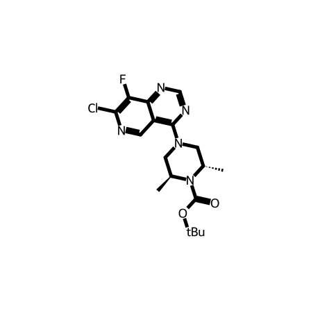 C[C@H]1CN(c2ncnc3c(F)c(Cl)ncc23)C[C@H](C)N1C(=O)OC(C)(C)C